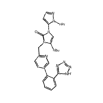 CCCCc1cn(-c2ccnn2CCC)c(=O)n1Cc1ccc(-c2ccccc2-c2nnn[nH]2)cn1